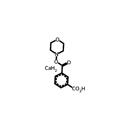 O=C(O)c1cccc(C(=O)ON2CCOCC2)c1.[CaH2]